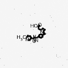 Cc1ccc(-c2nc(-c3ccc4cc5n(c4c3)C(CC(=O)O)CC5)no2)cn1